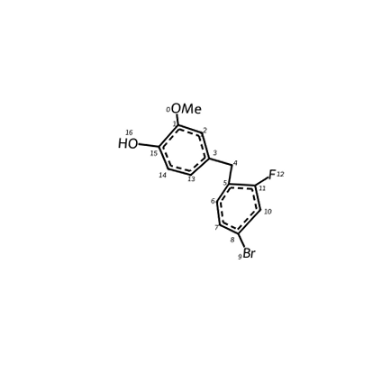 COc1[c]c(Cc2ccc(Br)cc2F)ccc1O